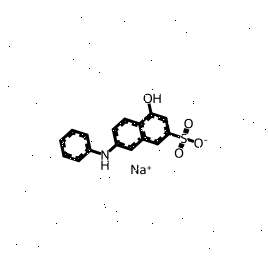 O=S(=O)([O-])c1cc(O)c2ccc(Nc3ccccc3)cc2c1.[Na+]